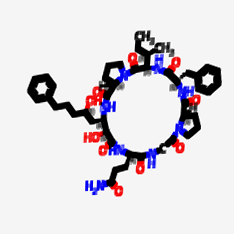 CC[C@@H](C)[C@H]1NC(=O)[C@H](Cc2ccccc2)NC(=O)[C@@H]2CCCN2C(=O)CNC(=O)[C@@H](CCC(N)=O)NC(=O)[C@@H](O)[C@@H](C[C@H](O)CCCc2ccccc2)NC(=O)[C@@H]2CCCN2C1=O